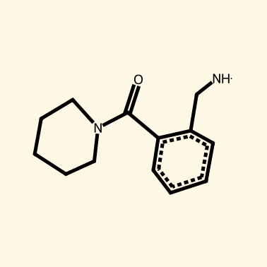 [NH]Cc1ccccc1C(=O)N1CCCCC1